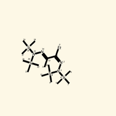 CCC(=NN([Si](C)(C)C)[Si](C)(C)C)C(C)=NN([Si](C)(C)C)[Si](C)(C)C